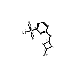 CCC1CN(Cc2cccc(S(=O)(=O)CC)c2)C1